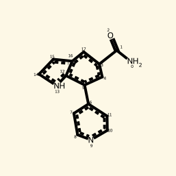 NC(=O)c1cc(-c2ccncc2)c2[nH]ccc2c1